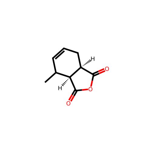 CC1C=CC[C@H]2C(=O)OC(=O)[C@@H]12